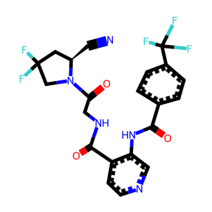 N#C[C@@H]1CC(F)(F)CN1C(=O)CNC(=O)c1ccncc1NC(=O)c1ccc(C(F)(F)F)cc1